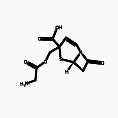 NCC(=O)OCC1(C(=O)O)C=CN2C(=O)C[C@H]2S1